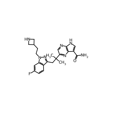 CC(C)(Cc1nn(CCC2CNC2)c2cc(F)ccc12)c1cnc2[nH]cc(C(N)=O)c2n1